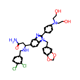 NC(=O)CC(NCc1ccc(Cl)c(Cl)c1)c1ccc2c(c1)nc(-c1ccc(N(CCO)CCO)cc1)n2Cc1ccc2c(c1)OCO2